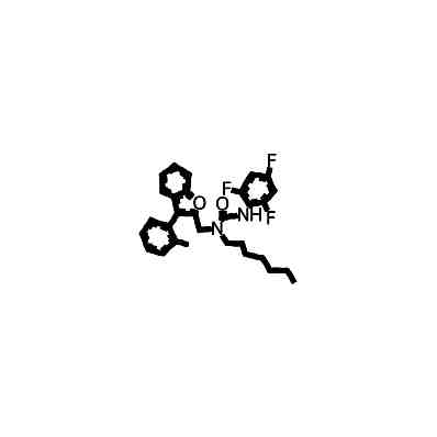 CCCCCCCN(Cc1oc2ccccc2c1-c1ccccc1C)C(=O)Nc1c(F)cc(F)cc1F